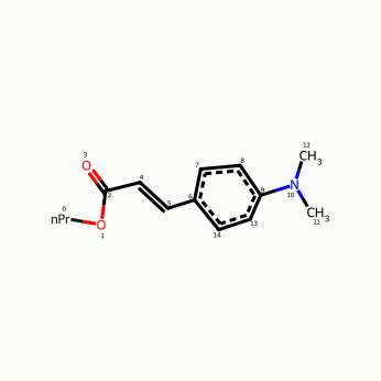 CCCOC(=O)C=Cc1ccc(N(C)C)cc1